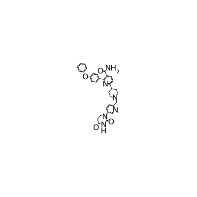 NC(=O)c1ccc(C2CCN(Cc3ccc(N4CCC(=O)NC4=O)cn3)CC2)nc1-c1ccc(Oc2ccccc2)cc1